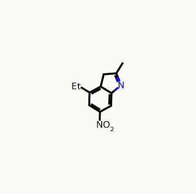 CCc1cc([N+](=O)[O-])cc2c1CC(C)=N2